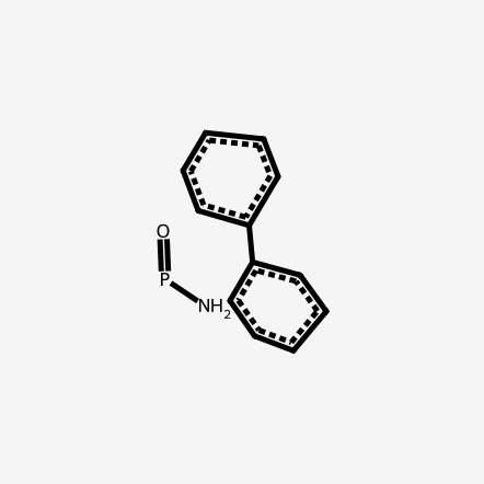 NP=O.c1ccc(-c2ccccc2)cc1